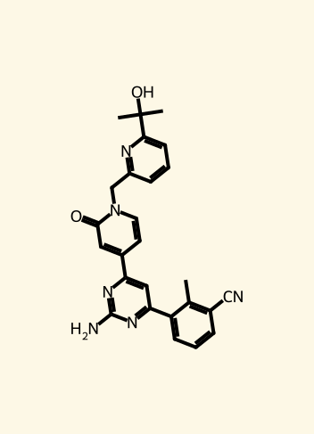 Cc1c(C#N)cccc1-c1cc(-c2ccn(Cc3cccc(C(C)(C)O)n3)c(=O)c2)nc(N)n1